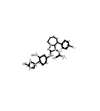 COc1cc(NC2=NN3CCCCC(c4ccc(F)cc4)C3N2OC(=O)C(F)(F)F)ccc1-n1cnc(Cl)n1